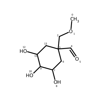 COCC1(C=O)CC(O)C(O)C(O)C1